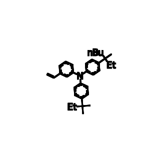 C=Cc1cccc(N(c2ccc(C(C)(C)CC)cc2)c2ccc(C(C)(CC)CCCC)cc2)c1